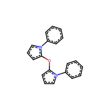 c1ccc(-n2cccc2Oc2cccn2-c2ccccc2)cc1